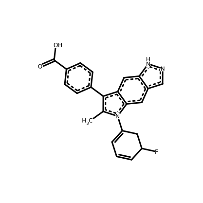 Cc1c(-c2ccc(C(=O)O)cc2)c2cc3[nH]ncc3cc2n1C1=CC=CC(F)C1